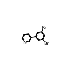 Brc1cc(Br)cc(-c2cccnc2)c1